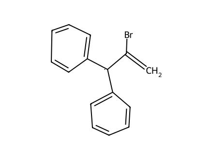 C=C(Br)[C](c1ccccc1)c1ccccc1